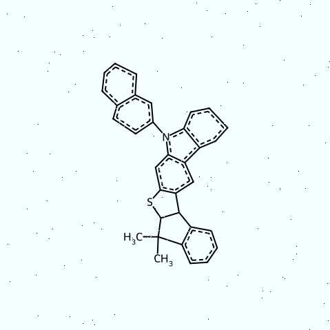 CC1(C)c2ccccc2C2c3cc4c5ccccc5n(-c5ccc6ccccc6c5)c4cc3SC21